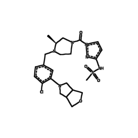 C[C@H]1CN(C(=O)n2ccc(NS(C)(=O)=O)n2)CCN1Cc1ccc(Cl)c(N2CC3COCC3C2)c1